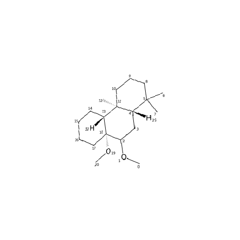 COC1C[C@H]2C(C)(C)CCC[C@]2(C)[C@H]2CCCC[C@]12OC